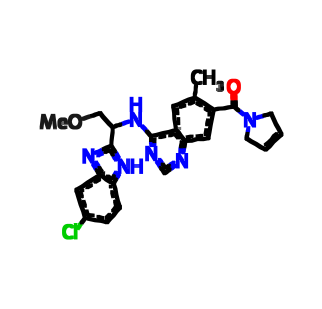 COCC(Nc1ncnc2cc(C(=O)N3CC=CC3)c(C)cc12)c1nc2cc(Cl)ccc2[nH]1